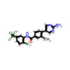 Cc1cc(C(=O)Nc2cc(C(F)(F)F)ccc2F)ccc1-c1cnc(N)nc1